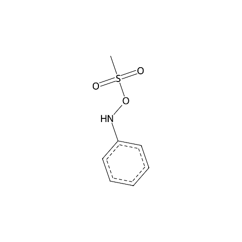 CS(=O)(=O)ONc1ccccc1